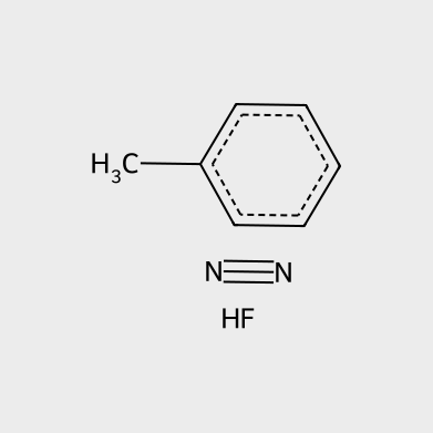 Cc1ccccc1.F.N#N